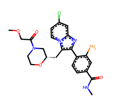 CNC(=O)c1ccc(-c2nc3cc(Cl)ccn3c2C[C@H]2CN(C(=O)COC)CCO2)c(P)c1